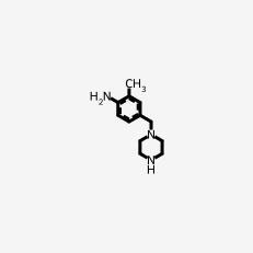 Cc1cc(CN2CCNCC2)ccc1N